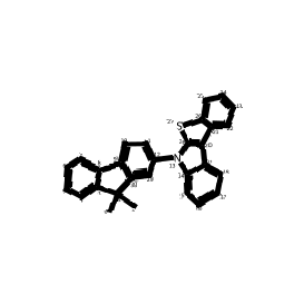 CC1(C)c2ccccc2-c2ccc(-n3c4ccccc4c4c5ccccc5sc43)cc21